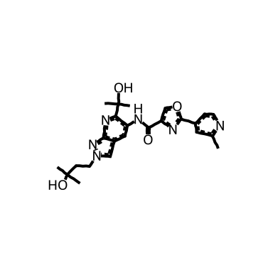 Cc1cc(-c2nc(C(=O)Nc3cc4cn(CCC(C)(C)O)nc4nc3C(C)(C)O)co2)ccn1